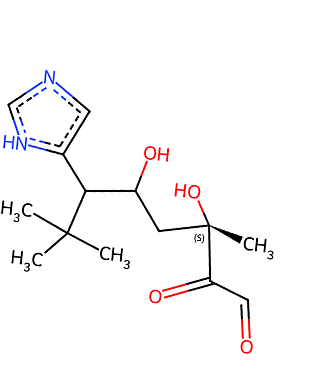 CC(C)(C)C(c1cnc[nH]1)C(O)C[C@](C)(O)C(=O)C=O